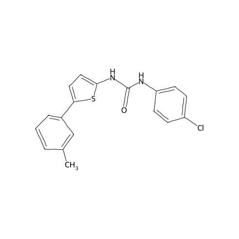 Cc1cccc(-c2ccc(NC(=O)Nc3ccc(Cl)cc3)s2)c1